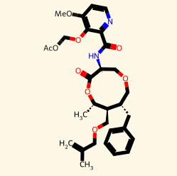 C=C(C)COC[C@@H]1[C@@H](Cc2ccccc2)COC[C@H](NC(=O)c2nccc(OC)c2OCOC(C)=O)C(=O)O[C@H]1C